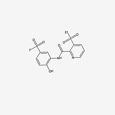 CCS(=O)(=O)c1cccnc1C(=O)Nc1cc(S(=O)(=O)F)ccc1O